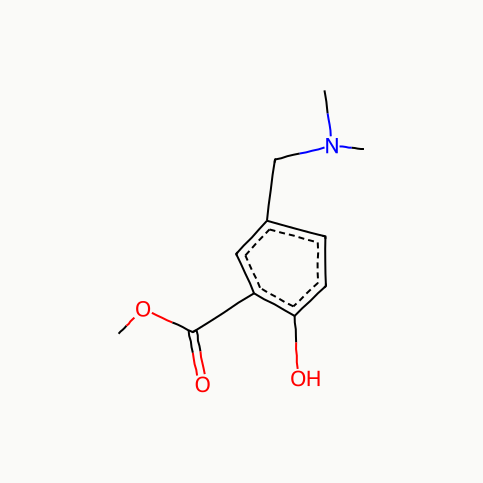 COC(=O)c1cc(CN(C)C)ccc1O